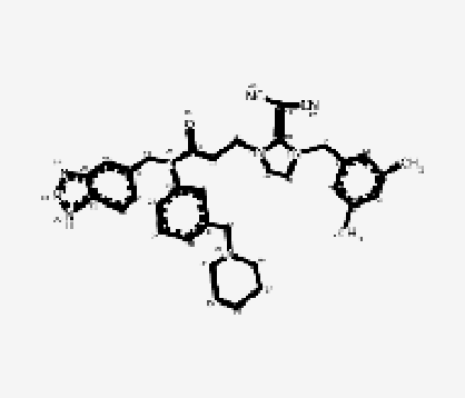 Cc1cc(C)cc(CN2CCN(CCC(=O)N(Cc3ccc4[nH]nnc4c3)c3cccc(CN4CCCCC4)c3)C2=C(C#N)C#N)c1